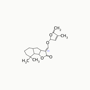 C=C1OC(O/C=C2/C(=O)OC3C2CC2CCCC(C)(C)C23)C=C1C